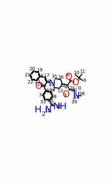 C[C@@H](C(=O)C(C(=O)OC(C)(C)C)C1CCN(C(=Cc2ccccc2)C(=O)c2ccc(C(=N)N)cc2)CC1)N(C)C